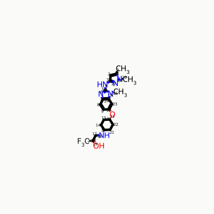 Cc1cc(Nc2nc3ccc(O[C@H]4CC[C@@H](NC[C@@H](O)C(F)(F)F)CC4)cc3n2C)nn1C